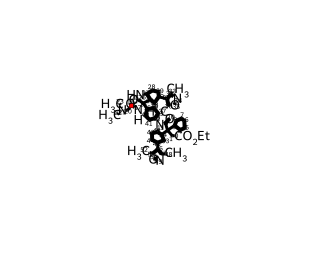 CCOC(=O)CC1(c2ccccc2)C(=O)N(c2ccc(C3(NC(=O)CN(C)C)C(=O)Nc4ccc(-c5c(C)noc5C)cc43)cc2)c2ccc(-c3c(C)noc3C)cc21